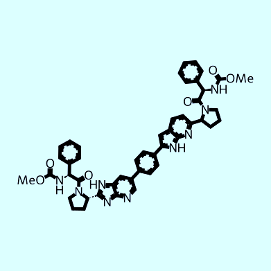 COC(=O)N[C@@H](C(=O)N1CCCC1c1ccc2cc(-c3ccc(-c4cnc5nc([C@@H]6CCCN6C(=O)[C@H](NC(=O)OC)c6ccccc6)[nH]c5c4)cc3)[nH]c2n1)c1ccccc1